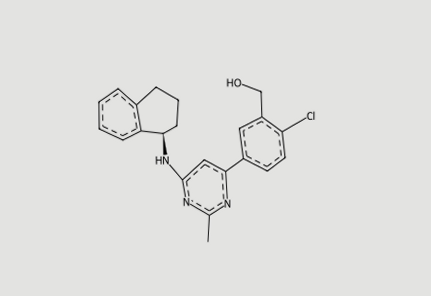 Cc1nc(N[C@@H]2CCCc3ccccc32)cc(-c2ccc(Cl)c(CO)c2)n1